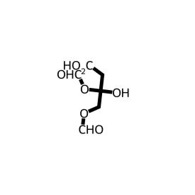 O=COCC(O)(CC(=O)O)OC=O